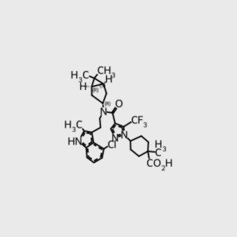 Cc1[nH]c2cccc(Cl)c2c1CCN(C(=O)c1cnn(C2CCC(C)(C(=O)O)CC2)c1C(F)(F)F)[C@H]1C[C@@H]2[C@H](C1)C2(C)C